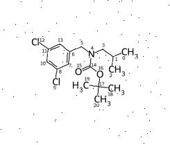 CC(C)CN(Cc1cc(Cl)cc(Cl)c1)C(=O)OC(C)(C)C